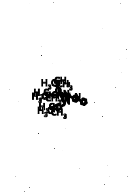 CC(C)(C)N1CCC(Cc2cc(N(COCC[Si](C)(C)C)COCC[Si](C)(C)C)n3ncc(-c4ccc(-c5ccccc5)nc4)c3n2)CC1